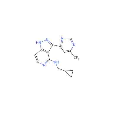 FC(F)(F)c1cc(-c2n[nH]c3ccnc(NCC4CC4)c23)ncn1